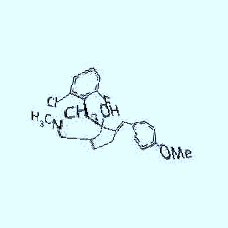 COc1ccc(C=C2CCC(CN(C)C)C2(O)Cc2c(F)cccc2Cl)cc1